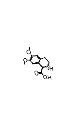 COc1cc2c(cc1OC)C(C(=O)O)[SH]CC2